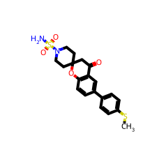 CSc1ccc(-c2ccc3c(c2)C(=O)CC2(CCN(S(N)(=O)=O)CC2)O3)cc1